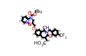 CC1c2cc(OCCCN(C(=O)OC(C)(C)C)c3cccc[n+]3[O-])ccc2CC(CC(=O)O)C(=O)N1Cc1ccc(C(F)(F)F)cc1